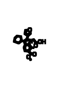 COC(=O)c1ccc2c(C3CCCCC3)c(-c3ccoc3)n(CC(=O)O)c2c1C